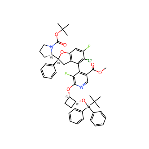 COC(=O)c1cnc(O[C@H]2CC[C@H]2O[Si](c2ccccc2)(c2ccccc2)C(C)(C)C)c(F)c1-c1c(Cl)c(F)cc2c1C[C@](c1ccccc1)([C@@H]1CCCN1C(=O)OC(C)(C)C)O2